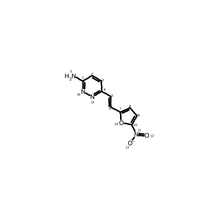 Nc1ccc(C=Cc2ccc([N+](=O)[O-])o2)nn1